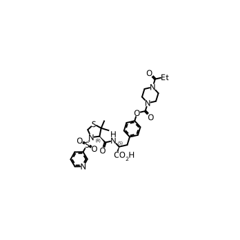 CCC(=O)N1CCN(C(=O)Oc2ccc(C[C@H](NC(=O)[C@H]3N(S(=O)(=O)c4cccnc4)CSC3(C)C)C(=O)O)cc2)CC1